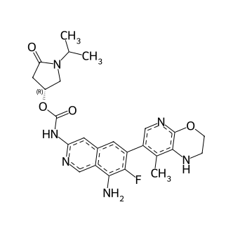 Cc1c(-c2cc3cc(NC(=O)O[C@@H]4CC(=O)N(C(C)C)C4)ncc3c(N)c2F)cnc2c1NCCO2